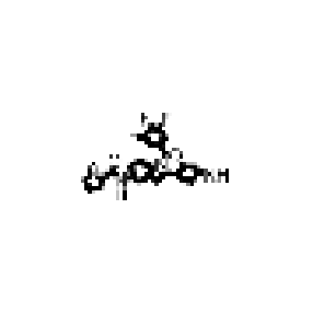 CNc1ccc2c(c1)OC(c1cc(F)c(F)c(F)c1)n1c-2cc2cc(NC(=O)C3CCCN3C)ccc21